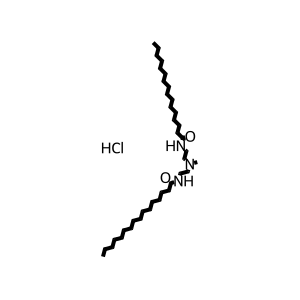 CCCCCCCCCCCCCCCC(=O)NCCN(C)CCNC(=O)CCCCCCCCCCCCCCC.Cl